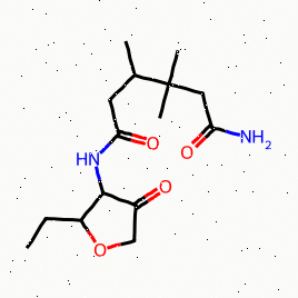 CCC1OCC(=O)C1NC(=O)CC(C)C(C)(C)CC(N)=O